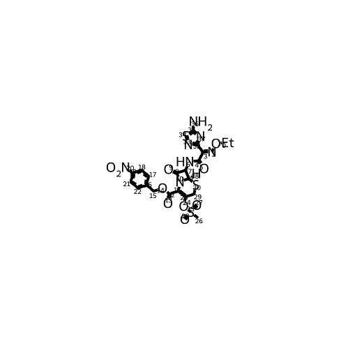 CCO/N=C(/C(=O)NC1C(=O)N2C(C(=O)OCc3ccc([N+](=O)[O-])cc3)=C(OS(C)(=O)=O)CS[C@H]12)c1nsc(N)n1